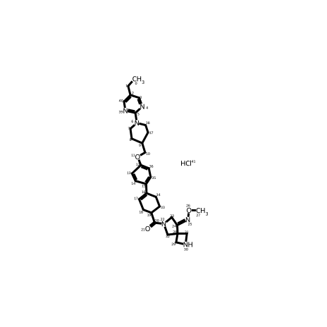 CCc1cnc(N2CCC(COc3ccc(C4=CCC(C(=O)N5CC(=NOC)C6(CNC6)C5)CC4)cc3)CC2)nc1.Cl